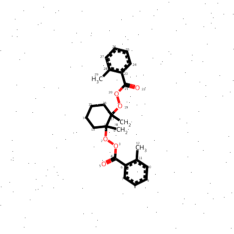 [CH2]C1(OOC(=O)c2ccccc2C)CCCCC1([CH2])OOC(=O)c1ccccc1C